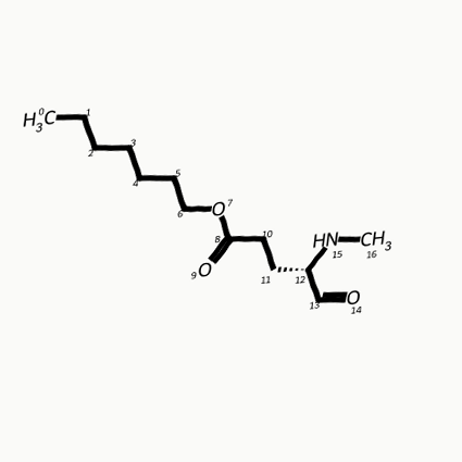 CCCCCCCOC(=O)CC[C@@H](C=O)NC